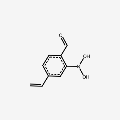 C=Cc1ccc(C=O)c(B(O)O)c1